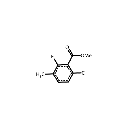 COC(=O)c1c(Cl)ccc(C)c1F